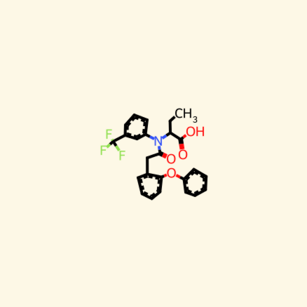 CCC(C(=O)O)N(C(=O)Cc1ccccc1Oc1ccccc1)c1cccc(C(F)(F)F)c1